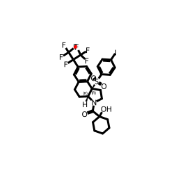 O=C(N1CC[C@@]2(S(=O)(=O)c3ccc(I)cc3)c3ccc(C(F)(C(F)(F)F)C(F)(F)F)cc3CC[C@@H]12)C1(O)CCCCC1